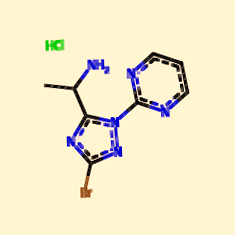 CC(N)c1nc(Br)nn1-c1ncccn1.Cl